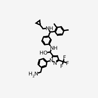 Cc1ccc(C(NCC2CC2)c2cccc(NC(O)c3cc(C(F)(F)F)nn3-c3cccc(CN)c3)c2)c(C)c1